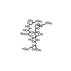 CCCCCCCCCCCCCC(=O)O[C@H](CCCCCCCCCCC)CC(=O)O/C(CO)=C(/NC(=O)C[C@@H](CCCCCCCCCCC)OC(=O)CCCCCCCCCCC)[C@@H](O)OCC(OC)C(O)C(O)C(C)NC(=O)C[C@H](O)CCCCCCCCCCC